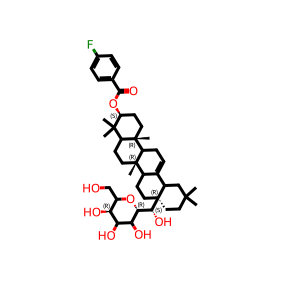 CC1(C)CC[C@]2([C@H](O)[C@H]3OC(CO)[C@H](O)C(O)C3O)CCC3C(=CCC4[C@@]3(C)CCC3C(C)(C)[C@@H](OC(=O)c5ccc(F)cc5)CC[C@@]34C)C2C1